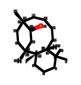 CC1(C)CCC[C@@]2(C)[C@@H]3CC[C@](C)(CCCC[C@H]12)C(=O)C3